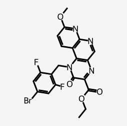 CCOC(=O)c1nc2cnc3nc(OC)ccc3c2n(Cc2c(F)cc(Br)cc2F)c1=O